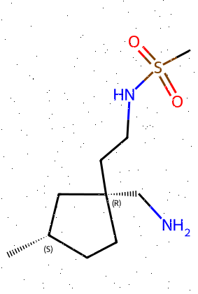 C[C@H]1CC[C@](CN)(CCNS(C)(=O)=O)C1